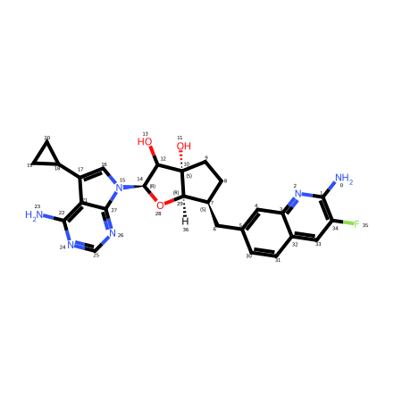 Nc1nc2cc(C[C@@H]3CC[C@]4(O)C(O)[C@H](n5cc(C6CC6)c6c(N)ncnc65)O[C@H]34)ccc2cc1F